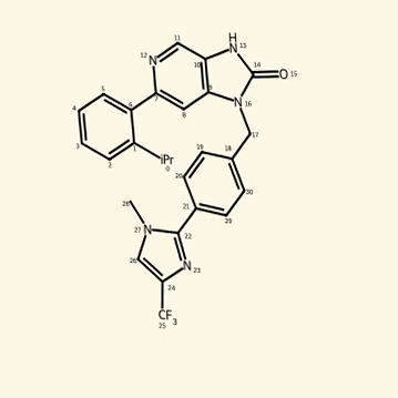 CC(C)c1ccccc1-c1cc2c(cn1)[nH]c(=O)n2Cc1ccc(-c2nc(C(F)(F)F)cn2C)cc1